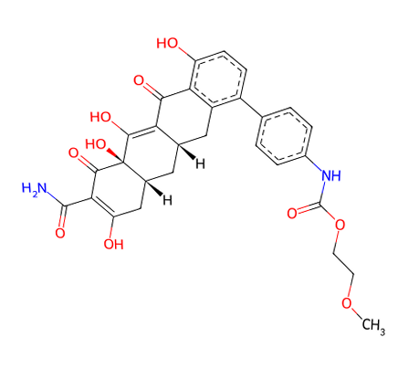 COCCOC(=O)Nc1ccc(-c2ccc(O)c3c2C[C@@H]2C[C@@H]4CC(O)=C(C(N)=O)C(=O)[C@]4(O)C(O)=C2C3=O)cc1